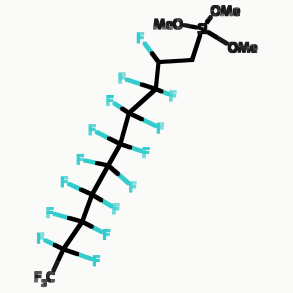 CO[Si](CC(F)C(F)(F)C(F)(F)C(F)(F)C(F)(F)C(F)(F)C(F)(F)C(F)(F)C(F)(F)F)(OC)OC